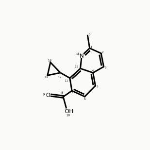 Cc1ccc2ccc(C(=O)O)c(C3CC3)c2n1